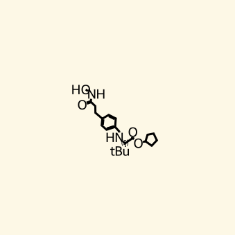 CC(C)(C)[C@H](NCc1ccc(CCC(=O)NO)cc1)C(=O)OC1CCCC1